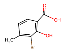 Cc1ccc(C(=O)O)c(O)c1Br